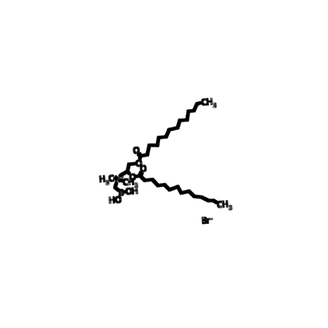 CCCCCCCCCCCCCC(=O)OCC(C[N+](C)(C)CB(O)O)OC(=O)CCCCCCCCCCCCC.[Br-]